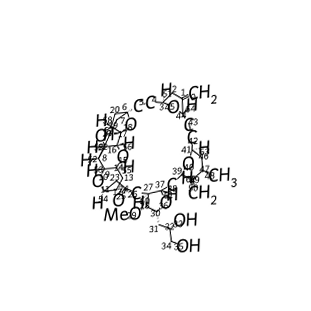 C=C1C[C@@H]2CC[C@@]34C[C@H]5[C@H]6O[C@H](CC[C@@H]6O[C@H]6[C@@H](O3)[C@@H](C4)O[C@@H]56)CC(=O)C[C@@H]3[C@@H](OC)[C@@H](C[C@H](O)CO)O[C@H]3C[C@H]3O[C@@H](CC[C@@H]1O2)C[C@@H](C)C3=C